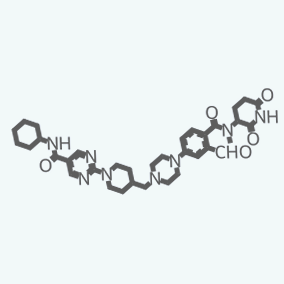 CN(C(=O)c1ccc(N2CCN(CC3CCN(c4ncc(C(=O)NC5CCCCC5)cn4)CC3)CC2)cc1C=O)C1CCC(=O)NC1=O